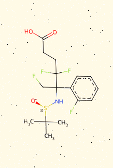 CC(C)(C)[S@@+]([O-])NC(CF)(c1ccccc1F)C(F)(F)CCC(=O)O